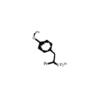 CC(C)Oc1ccc(CC(C(=O)O)C(C)C)cc1